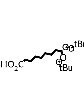 CC(C)(C)OOC(CCCCCCCC(=O)O)OOC(C)(C)C